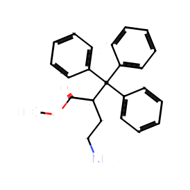 COC(=O)C(CCN)C(c1ccccc1)(c1ccccc1)c1ccccc1